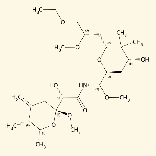 C=C1C[C@](OC)([C@H](O)C(=O)N[C@@H](OC)[C@@H]2C[C@@H](O)C(C)(C)[C@@H](C[C@@H](COCC)OC)O2)O[C@H](C)[C@@H]1C